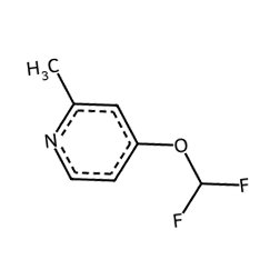 Cc1cc(OC(F)F)ccn1